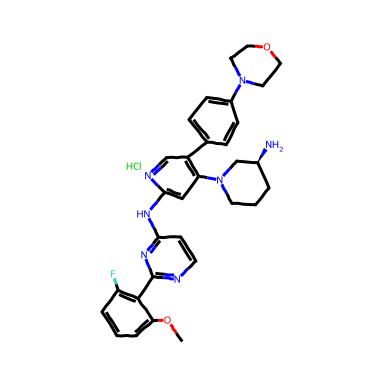 COc1cccc(F)c1-c1nccc(Nc2cc(N3CCC[C@H](N)C3)c(-c3ccc(N4CCOCC4)cc3)cn2)n1.Cl